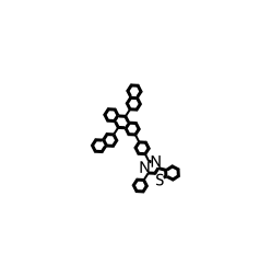 c1ccc(-c2nc(-c3ccc(-c4ccc5c(-c6ccc7ccccc7c6)c6ccccc6c(-c6ccc7ccccc7c6)c5c4)cc3)nc3c2sc2ccccc23)cc1